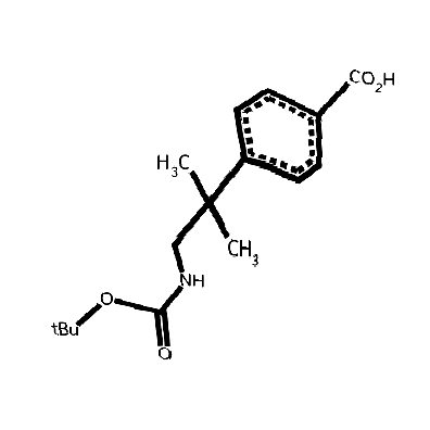 CC(C)(C)OC(=O)NCC(C)(C)c1ccc(C(=O)O)cc1